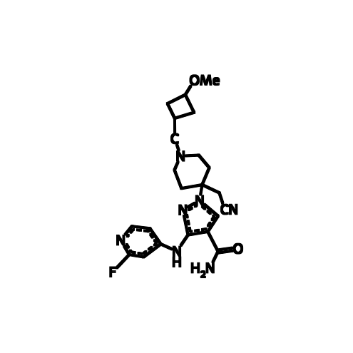 COC1CC(CN2CCC(CC#N)(n3cc(C(N)=O)c(Nc4ccnc(F)c4)n3)CC2)C1